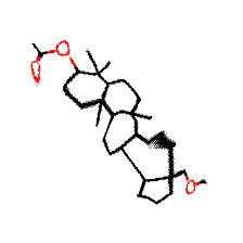 COCC12CCCC1C1CCC3C(C)(CCC4C(C)(C)C(OC(C)=O)CCC43C)C1CC2